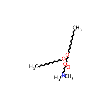 CCCCCCCCCCCCOCC(COC(=O)CCCN(C)C)OCCCCCCCCCCCC